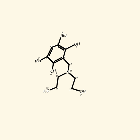 Cc1c(C(C)(C)C)cc(C(C)(C)C)c(O)c1CN(CCO)CCO